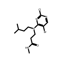 CNC(=O)CCN(CCC(C)C)c1nc(Cl)ncc1Br